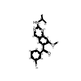 COc1cc2nc(NC(C)C)ncc2cc1C(=O)c1cccc(F)c1